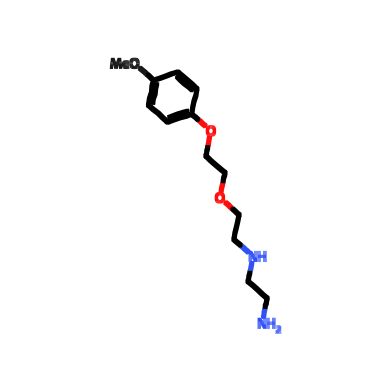 COc1ccc(OCCOCCNCCN)cc1